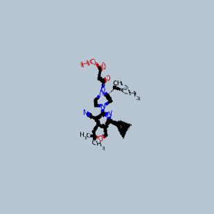 CC(C)[C@@H]1CN(c2nc(C3CC3)c3c(c2C#N)CC(C)(C)OC3)CCN1C(=O)CC(=O)O